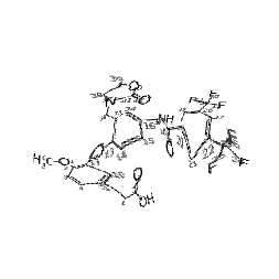 COc1ccc(CC(=O)O)cc1Oc1ccc(NC(=O)c2cc(C(F)(F)F)cc(C(F)(F)F)c2)cc1CN1CCOC1=O